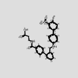 O=C(O)CCNC(=O)c1ccc(-c2ccccc2CNc2ccc(-c3ccc(F)c([N+](=O)[O-])c3)cc2)cc1